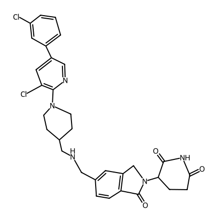 O=C1CCC(N2Cc3cc(CNCC4CCN(c5ncc(-c6cccc(Cl)c6)cc5Cl)CC4)ccc3C2=O)C(=O)N1